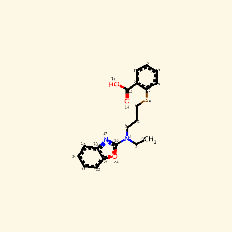 CCN(CCCSc1ccccc1C(=O)O)c1nc2ccccc2o1